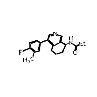 CCC(=O)N[C@H]1CCCc2c(-c3ccc(F)c(C)c3)cncc21